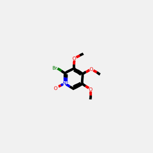 COc1c[n+]([O-])c(Br)c(OC)c1OC